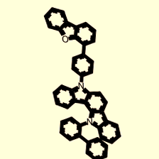 c1ccc(-c2ccccc2-n2c3ccccc3c3ccc4c(c5ccccc5n4-c4ccc(-c5cccc6c5oc5ccccc56)cc4)c32)cc1